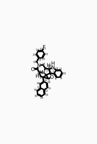 O=C1[C@@H]2CC3OC45c6ccccc6N[C@@H]4C(CN1Cc1ccc(F)cc1)N2C35Cc1ccc2ccccc2c1